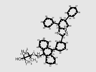 CC(C)(O)C(C)(C)OBc1c2ccccc2c(-c2cccc(-c3nc4c(-c5ccccc5)cc(-c5ccccc5)cn4n3)c2)c2ccccc12